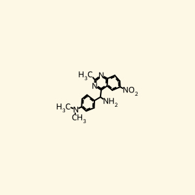 Cc1nc(C(N)c2ccc(N(C)C)cc2)c2cc([N+](=O)[O-])ccc2n1